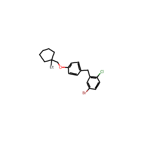 CCC1(COc2ccc(Cc3cc(Br)ccc3Cl)cc2)CCCCC1